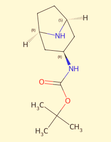 CC(C)(C)OC(=O)N[C@H]1C[C@H]2CC[C@@H](C1)N2